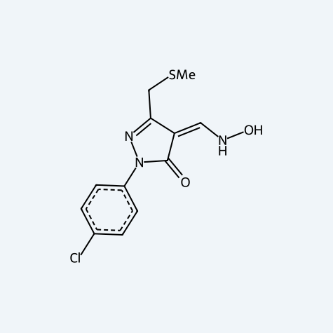 CSCC1=NN(c2ccc(Cl)cc2)C(=O)C1=CNO